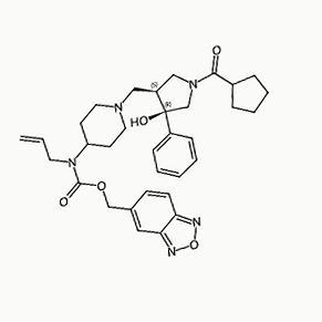 C=CCN(C(=O)OCc1ccc2nonc2c1)C1CCN(C[C@H]2CN(C(=O)C3CCCC3)C[C@]2(O)c2ccccc2)CC1